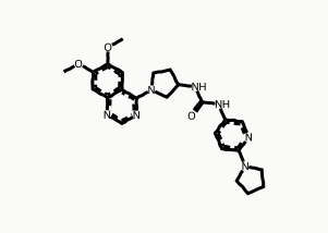 COc1cc2ncnc(N3CCC(NC(=O)Nc4ccc(N5CCCC5)nc4)C3)c2cc1OC